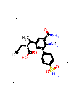 C#CCC(C(=O)O)C(C)c1cc(C(N)=O)c(N)c(-c2ccc(S(N)(=O)=O)cc2)c1